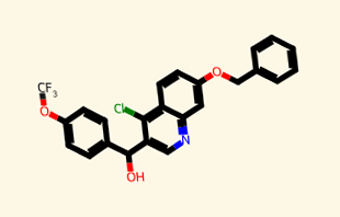 OC(c1ccc(OC(F)(F)F)cc1)c1cnc2cc(OCc3ccccc3)ccc2c1Cl